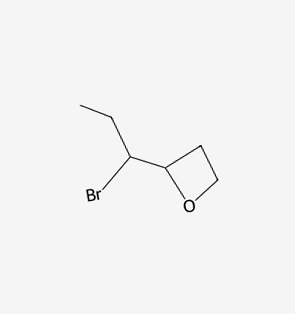 CCC(Br)C1CCO1